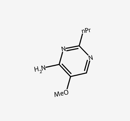 CCCc1ncc(OC)c(N)n1